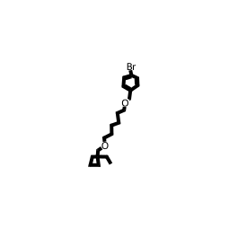 CCC1(COCCCCCCOCc2ccc(Br)cc2)CCC1